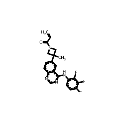 C=CC(=O)N1CC(C)(c2ccc3ncnc(Nc4ccc(F)c(F)c4F)c3c2)C1